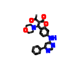 CC(=O)c1c(N2CCOCC2)c2ccc(Nc3cc(-c4ccccc4)ncn3)cc2oc1=O